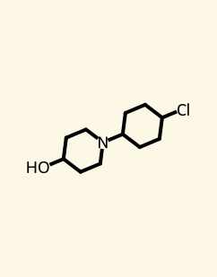 OC1CCN(C2CCC(Cl)CC2)CC1